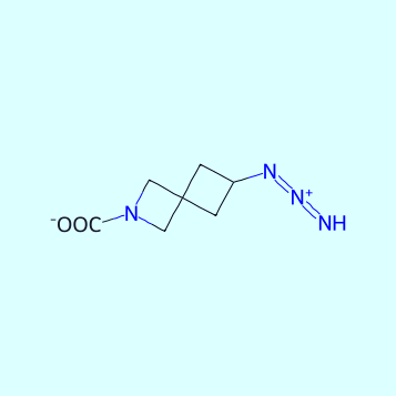 N=[N+]=NC1CC2(C1)CN(C(=O)[O-])C2